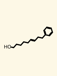 OCCCCCC=CCCc1ccccc1